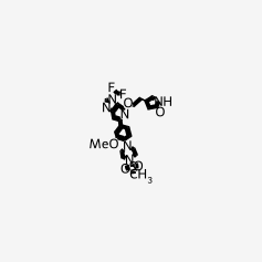 COc1cc(-c2cc3ncn(C(F)F)c3c(OCC[C@H]3CNC(=O)C3)n2)ccc1N1CCN(S(C)(=O)=O)CC1